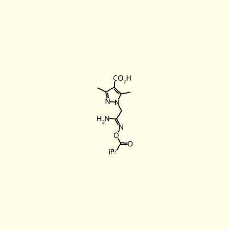 Cc1nn(C/C(N)=N/OC(=O)C(C)C)c(C)c1C(=O)O